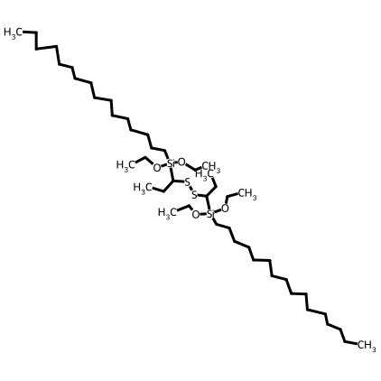 CCCCCCCCCCCCCCCC[Si](OCC)(OCC)C(CC)SSC(CC)[Si](CCCCCCCCCCCCCCCC)(OCC)OCC